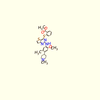 COC(=O)c1ccccc1Sc1nc(Nc2cc(C)c(C3CCN(C)CC3)cc2OC)nc2ccsc12